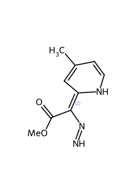 COC(=O)/C(N=N)=C1\C=C(C)C=CN1